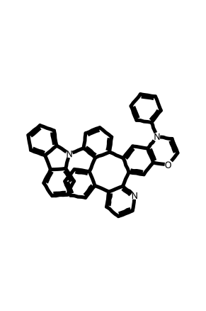 c1ccc(-n2ccoc3cc4c(cc32)c2cccc(-n3c5ccccc5c5ccccc53)c2c2ccccc2c2cccnc24)cc1